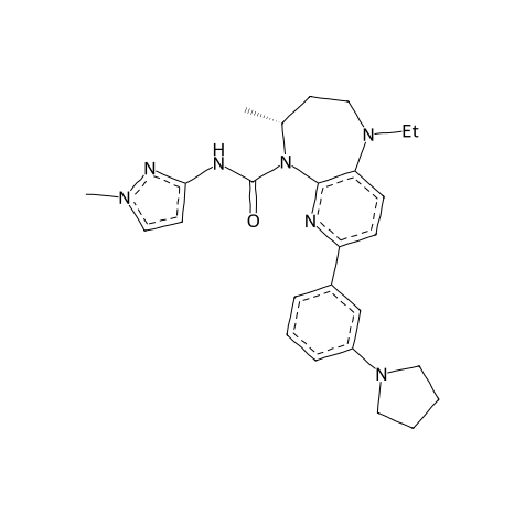 CCN1CC[C@@H](C)N(C(=O)Nc2ccn(C)n2)c2nc(-c3cccc(N4CCCC4)c3)ccc21